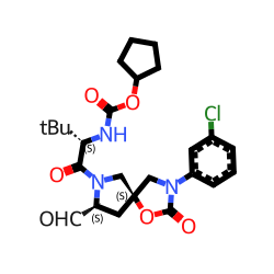 CC(C)(C)[C@H](NC(=O)OC1CCCC1)C(=O)N1C[C@@]2(C[C@H]1C=O)CN(c1cccc(Cl)c1)C(=O)O2